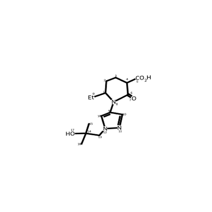 CCC1CCC(C(=O)O)C(=O)N1c1cnn(CC(C)(C)O)c1